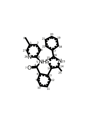 Cc1ccc(NC(=O)c2ccccc2-c2sc(-c3ccccc3)nc2C)nc1